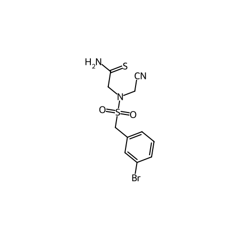 N#CCN(CC(N)=S)S(=O)(=O)Cc1cccc(Br)c1